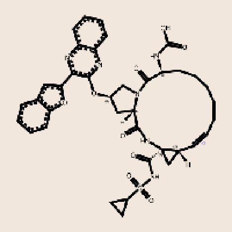 O=C(O)N[C@H]1CCCCC/C=C\[C@@H]2C[C@@]2(C(=O)NS(=O)(=O)C2CC2)NC(=O)[C@@H]2C[C@@H](Oc3nc4ccccc4nc3-c3cc4ccccc4o3)CN2C1=O